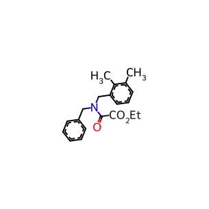 CCOC(=O)C(=O)N(Cc1ccccc1)Cc1cccc(C)c1C